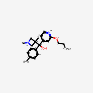 COCCOc1cc(C(O)(c2ccc(C(C)C)cc2)C2(C)CN(C)C2)ccn1